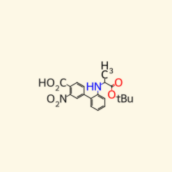 CC(Nc1ccccc1-c1ccc(C(=O)O)c([N+](=O)[O-])c1)C(=O)OC(C)(C)C